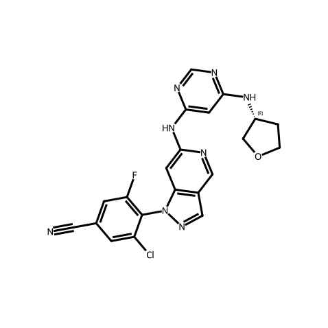 N#Cc1cc(F)c(-n2ncc3cnc(Nc4cc(N[C@@H]5CCOC5)ncn4)cc32)c(Cl)c1